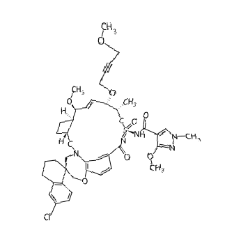 COCC#CCO[C@H]1/C=C/[C@H](OC)[C@@H]2CC[C@H]2CN2C[C@@]3(CCCc4cc(Cl)ccc43)COc3ccc(cc32)C(=O)N=[S@](=O)(NC(=O)c2cn(C)nc2OC)C[C@H]1C